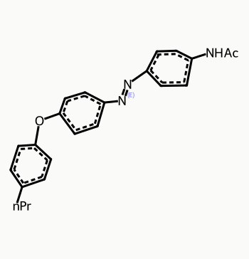 CCCc1ccc(Oc2ccc(/N=N/c3ccc(NC(C)=O)cc3)cc2)cc1